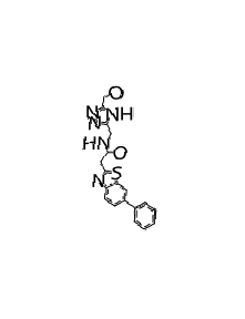 O=Cc1nnc(CNC(=O)Cc2nc3ccc(-c4ccccc4)cc3s2)[nH]1